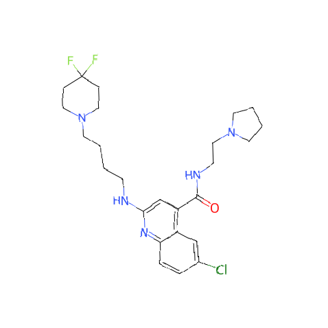 O=C(NCCN1CCCC1)c1cc(NCCCCN2CCC(F)(F)CC2)nc2ccc(Cl)cc12